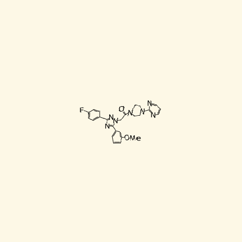 COc1cccc(-c2nc(-c3ccc(F)cc3)nn2CC(=O)N2CCN(c3ncccn3)CC2)c1